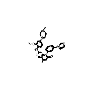 COc1cc(N2CCN(C)CC2)ccc1Nc1ncc2c(C)cc(=O)n(-c3cccc(-n4ccnc4)c3)c2n1